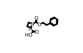 O=C(O)[C@H]1CCN1C(=O)OCCc1ccccc1